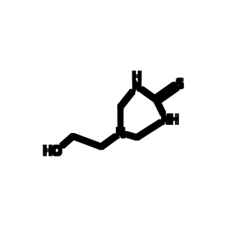 OCCN1CNC(=S)NC1